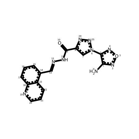 Nc1nonc1-n1cc(C(=O)NN=Cc2cccc3ncccc23)nn1